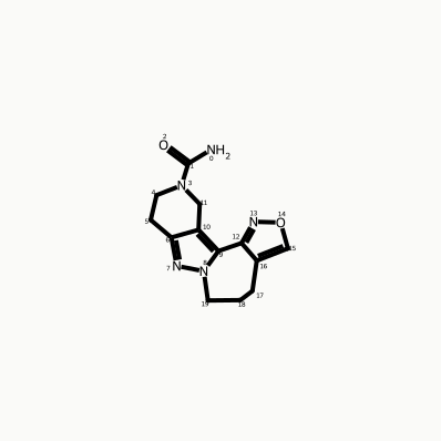 NC(=O)N1CCc2nn3c(c2C1)-c1nocc1CCC3